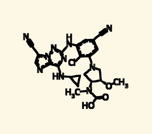 CO[C@@H]1CN(c2cc(C#N)cc(Nc3nc(NC4CC4)c4ncc(C#N)n4n3)c2Cl)C[C@@H]1N(C)C(=O)O